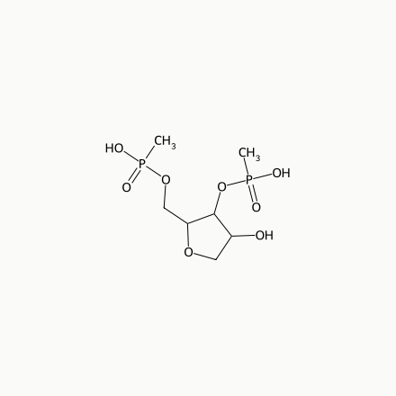 CP(=O)(O)OCC1OCC(O)C1OP(C)(=O)O